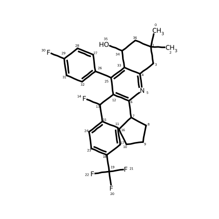 CC1(C)Cc2nc(C3CCCC3)c(C(F)c3ccc(C(F)(F)F)cc3)c(-c3ccc(F)cc3)c2C(O)C1